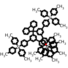 Cc1ccc([Si](c2ccc(C)cc2)(c2ccc(C)cc2)c2ccc(-c3cc(-c4ccc([Si](c5ccc(C)cc5)(c5ccc(C)cc5)c5ccc(C)cc5)cc4)cc(C4(c5cc(-c6ccc([Si](c7ccc(C)cc7)(c7ccc(C)cc7)c7ccc(C)cc7)cc6)cc(-c6ccc([Si](c7ccc(C)cc7)(c7ccc(C)cc7)c7ccc(C)cc7)cc6)c5)c5ccccc5-c5ccccc54)c3)cc2)cc1